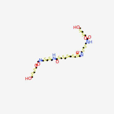 O=C(NCSCSC/N=C\[S+]([O-])CSCSCSCSC(=O)NCSCSC/N=C\OOCSCSCO)OCSCSCO